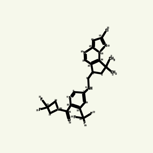 CC1(C)CC(CNc2cnc(C(=O)N3CC(F)(F)C3)c(C(F)(F)F)c2)c2cnc3cc(Cl)nn3c21